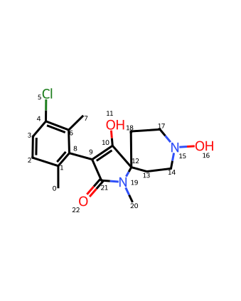 Cc1ccc(Cl)c(C)c1C1=C(O)C2(CCN(O)CC2)N(C)C1=O